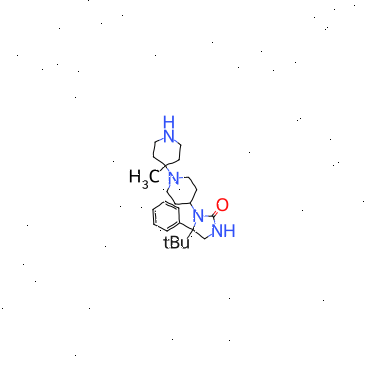 CC1(N2CCC(N3C(=O)NCC3(c3ccccc3)C(C)(C)C)CC2)CCNCC1